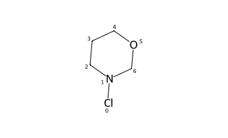 ClN1CCCOC1